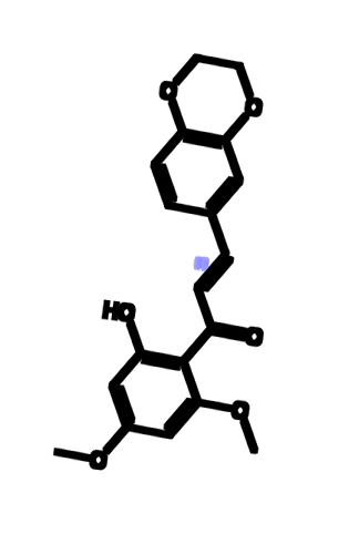 COc1cc(O)c(C(=O)/C=C/c2ccc3c(c2)OCCO3)c(OC)c1